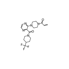 C=CC(=O)N1CCN(c2nccnc2C(=O)N2CCC(C(F)(F)F)CC2)CC1